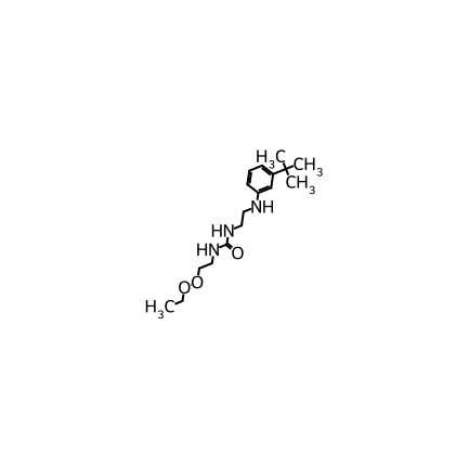 CCOOCCNC(=O)NCCNc1cccc(C(C)(C)C)c1